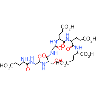 N[C@@H](CCC(=O)O)C(=O)NCC(=O)N[C@@H](CO)C(=O)NCC(=O)N[C@@H](CCC(=O)O)C(=O)N[C@@H](CCC(=O)O)C(=O)N[C@@H](CCC(=O)O)C(=O)O